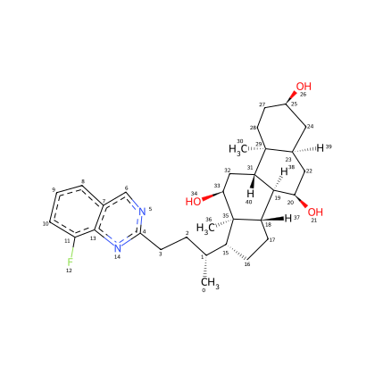 C[C@H](CCc1ncc2cccc(F)c2n1)[C@H]1CC[C@H]2[C@@H]3[C@H](O)C[C@@H]4C[C@H](O)CC[C@]4(C)[C@H]3C[C@H](O)[C@]12C